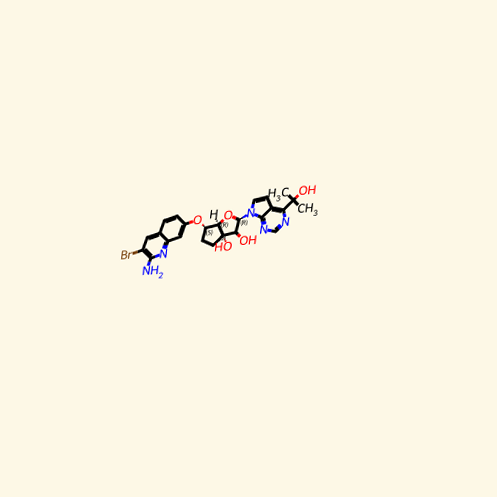 CC(C)(O)c1ncnc2c1ccn2[C@@H]1O[C@@H]2[C@@H](Oc3ccc4cc(Br)c(N)nc4c3)CC[C@]2(O)C1O